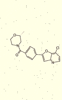 C[C@@H]1CN(C(=O)c2ccc(-c3cc4nccc(Cl)c4o3)cc2)CCO1